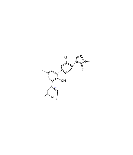 C/C=C(\C=C(\C)N)c1cc(C)cc(-c2ccc(-n3ccn(C)c3=O)c(Cl)c2)c1O